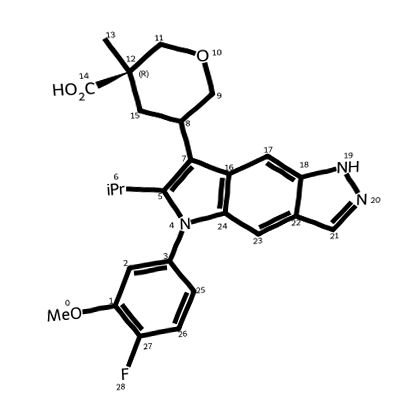 COc1cc(-n2c(C(C)C)c(C3COC[C@](C)(C(=O)O)C3)c3cc4[nH]ncc4cc32)ccc1F